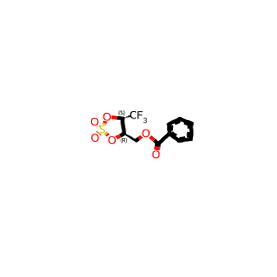 O=C(OC[C@H]1OS(=O)(=O)O[C@@H]1C(F)(F)F)c1ccccc1